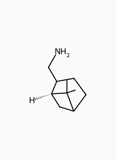 CC1(C)C2CCC(CN)[C@@H]1C2